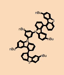 CCCCc1cc(-n2c3ccc(CCCC)cc3c3c(-c4cccc5sc6ccc(CCCC)cc6c45)cccc32)cc(-n2c3ccc(CCCC)cc3c3c(-c4cccc5sc6ccc(CCCC)cc6c45)cccc32)c1